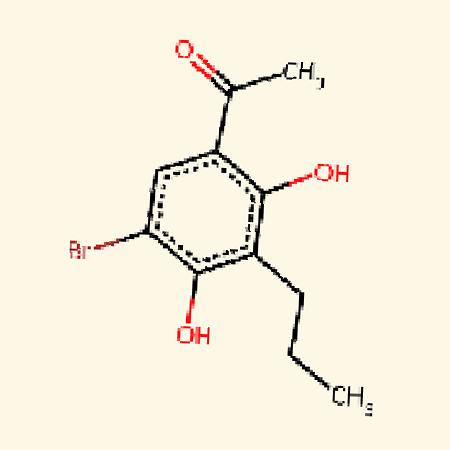 CCCc1c(O)c(Br)cc(C(C)=O)c1O